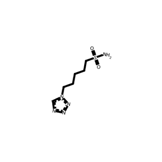 NS(=O)(=O)CCCCCn1[c]nnn1